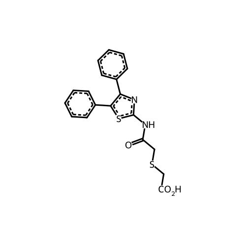 O=C(O)CSCC(=O)Nc1nc(-c2ccccc2)c(-c2ccccc2)s1